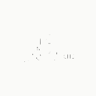 O=Cc1ccc(-c2nc(C(F)(F)F)cn2C2CC2(F)F)cc1